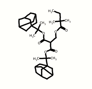 CCC(C)(C)C(=O)OCC(C(=O)OC(C)(C)C12CC3CC(CC(C3)C1)C2)C(=O)OC(C)(C)C12CC3CC(CC(C3)C1)C2